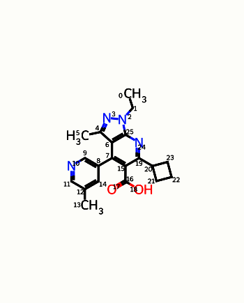 CCn1nc(C)c2c(-c3cncc(C)c3)c(C(=O)O)c(C3CCC3)nc21